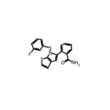 NC(=O)c1ccccc1-c1cc2ccsc2n1Sc1cccc(F)c1